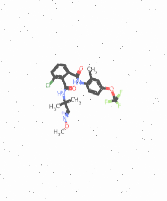 CO/N=C/C(C)(C)NC(=O)c1c(Cl)cccc1C(=O)Nc1ccc(OC(F)(F)F)cc1C